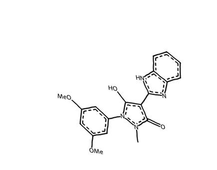 COc1cc(OC)cc(-n2c(O)c(-c3nc4ccccc4[nH]3)c(=O)n2C)c1